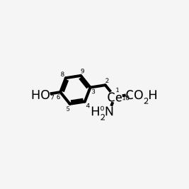 [NH2][Ce]([CH2]c1ccc(O)cc1)[C](=O)O